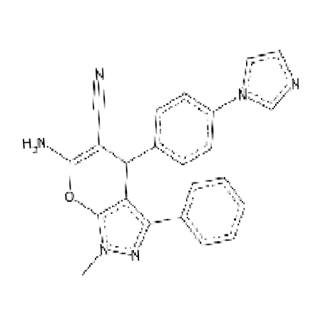 Cn1nc(-c2ccccc2)c2c1OC(N)=C(C#N)C2c1ccc(-n2ccnc2)cc1